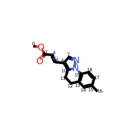 COC(=O)/C=C/c1cnn2c1CCc1cc(C)ccc1-2